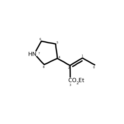 CC=C(C(=O)OCC)C1CCNC1